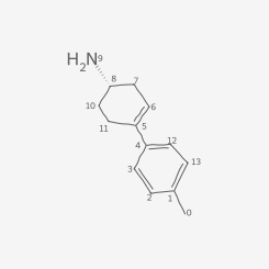 Cc1ccc(C2=CC[C@@H](N)CC2)cc1